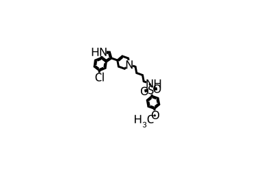 COc1ccc(S(=O)(=O)NCCCCN2CC=C(c3c[nH]c4ccc(Cl)cc34)CC2)cc1